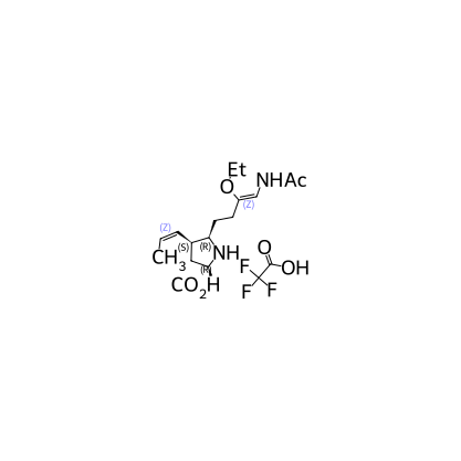 C/C=C\[C@@H]1C[C@H](C(=O)O)N[C@@H]1CC/C(=C/NC(C)=O)OCC.O=C(O)C(F)(F)F